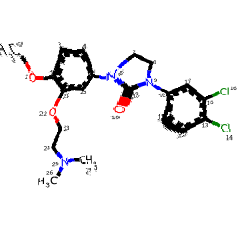 COc1ccc(N2CCN(c3ccc(Cl)c(Cl)c3)C2=O)cc1OCCN(C)C